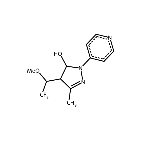 COC(C1C(C)=NN(c2ccncc2)C1O)C(F)(F)F